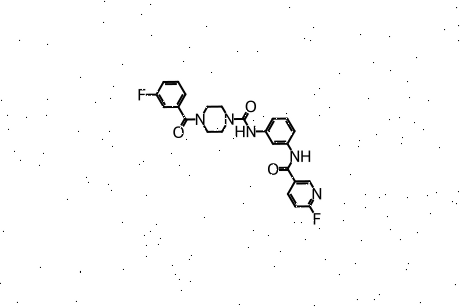 O=C(Nc1cccc(NC(=O)N2CCN(C(=O)c3cccc(F)c3)CC2)c1)c1ccc(F)nc1